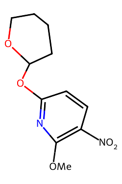 COc1nc(OC2CCCCO2)ccc1[N+](=O)[O-]